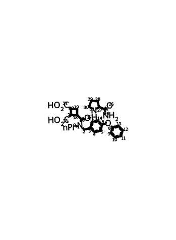 CCCN(Cc1ccc(Oc2ccccc2)cc1)C(=O)C1CC(C(=O)O)C1C(=O)O.NC(=O)C1CCCN1